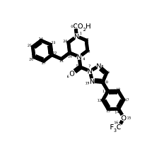 O=C(O)N1CCN(C(=O)n2ncc(-c3ccc(OC(F)(F)F)cc3)n2)C(Cc2ccccc2)C1